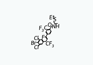 CCSCC(C)NC(=O)c1ccc(/C(F)=C/C(c2cc(Cl)c(Br)c(Cl)c2)C(F)(F)F)cc1C(F)(F)F